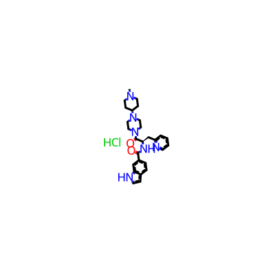 CN1CCC(N2CCN(C(=O)[C@@H](Cc3ccccn3)NC(=O)c3ccc4cc[nH]c4c3)CC2)CC1.Cl